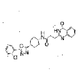 O=C(CCc1nc2ccccc2c(=O)[nH]1)N[C@H]1CC[C@H](c2nnc(-c3ccccc3Cl)o2)CC1